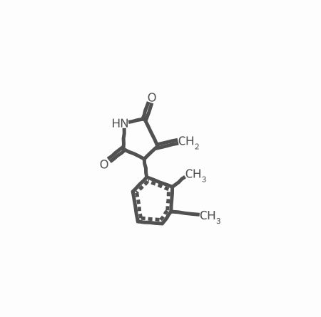 C=C1C(=O)NC(=O)C1c1cccc(C)c1C